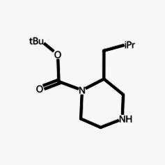 CC(C)CC1CNCCN1C(=O)OC(C)(C)C